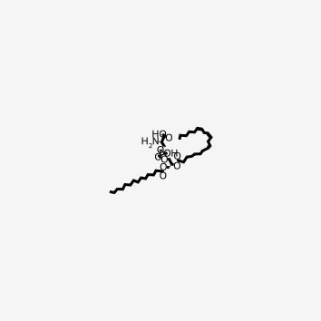 CCCCC/C=C\C/C=C\C/C=C\CCCCCCC(=O)O[C@H](COC(=O)CCCCCCCCCCCCC)COP(=O)(O)OC[C@H](N)C(=O)O